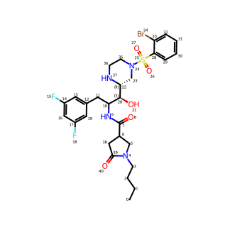 CCCCN1CC(C(=O)NC(Cc2cc(F)cc(F)c2)[C@H](O)[C@H]2CN(S(=O)(=O)c3ccccc3Br)CCN2)CC1=O